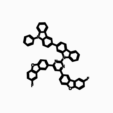 Fc1ccc2oc3ccc(-c4cc(-c5ccc6oc7ccc(F)cc7c6c5)nc(-n5c6ccccc6c6ccc(-c7ccc8c(c7)c7ccccc7n8-c7ccccc7)cc65)n4)cc3c2c1